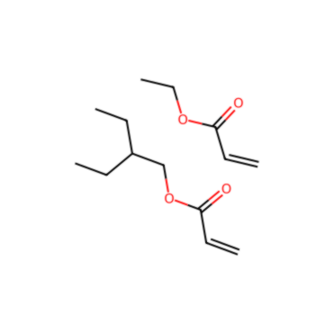 C=CC(=O)OCC.C=CC(=O)OCC(CC)CC